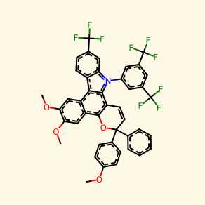 COc1ccc(C2(c3ccccc3)C=Cc3c(c4cc(OC)c(OC)cc4c4c5ccc(C(F)(F)F)cc5n(-c5cc(C(F)(F)F)cc(C(F)(F)F)c5)c34)O2)cc1